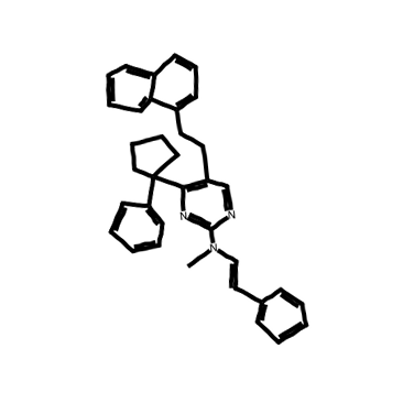 CN(C=Cc1ccccc1)c1ncc(CCc2cccc3ccccc23)c(C2(c3ccccc3)CCCC2)n1